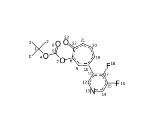 CC(C)(C)OC(=O)Oc1cc(-c2cncc(F)c2F)cccc1=O